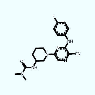 CN(C)C(=O)NC1CCCN(c2cnc(C#N)c(Nc3ccc(F)cc3)n2)C1